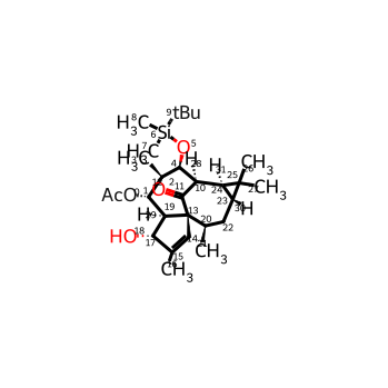 CC(=O)O[C@@H]1[C@@H](C)[C@@H](O[Si](C)(C)C(C)(C)C)[C@@H]2C(=O)[C@]3(C=C(C)[C@H](O)[C@@H]13)[C@H](C)C[C@@H]1[C@@H]2C1(C)C